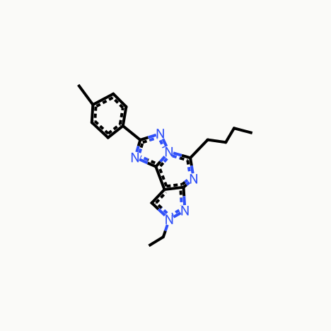 CCCCc1nc2nn(CC)cc2c2nc(-c3ccc(C)cc3)nn12